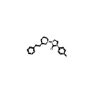 O=C1N(c2ccc(F)cc2)CCN1N1CCCC(CCc2ccccc2)C1